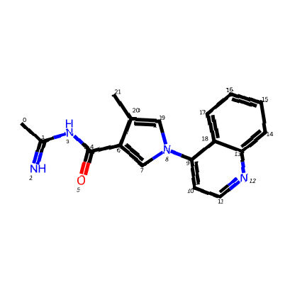 CC(=N)NC(=O)c1cn(-c2ccnc3ccccc23)cc1C